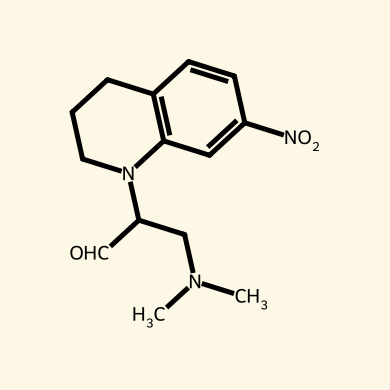 CN(C)CC(C=O)N1CCCc2ccc([N+](=O)[O-])cc21